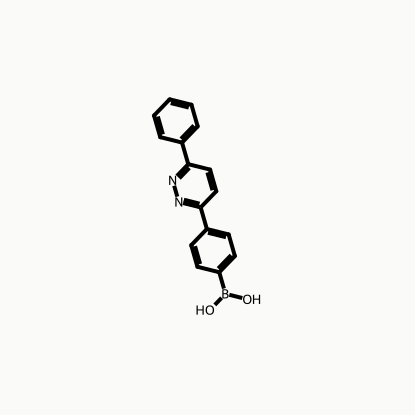 OB(O)c1ccc(-c2ccc(-c3ccccc3)nn2)cc1